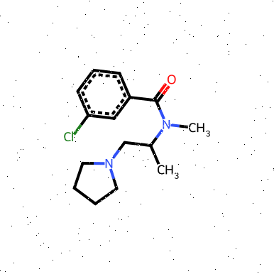 CC(CN1CCCC1)N(C)C(=O)c1cccc(Cl)c1